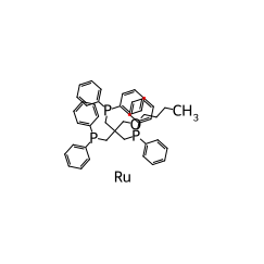 CCCCOCC(CP(c1ccccc1)c1ccccc1)(CP(c1ccccc1)c1ccccc1)CP(c1ccccc1)c1ccccc1.[Ru]